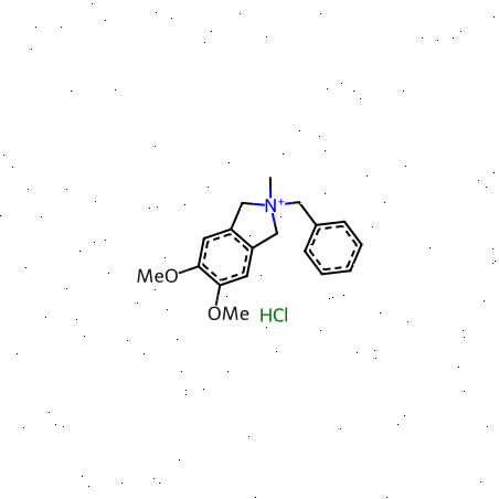 COc1cc2c(cc1OC)C[N+](C)(Cc1ccccc1)C2.Cl